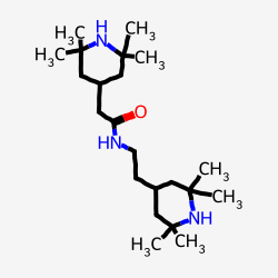 CC1(C)CC(CCNC(=O)CC2CC(C)(C)NC(C)(C)C2)CC(C)(C)N1